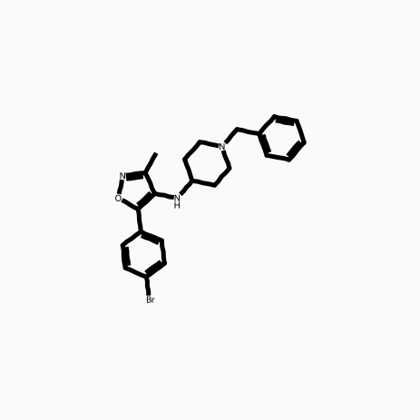 Cc1noc(-c2ccc(Br)cc2)c1NC1CCN(Cc2ccccc2)CC1